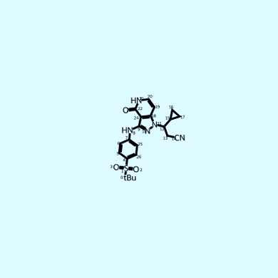 CC(C)(C)S(=O)(=O)c1ccc(Nc2nn(C(CC#N)C3CC3)c3cc[nH]c(=O)c23)cc1